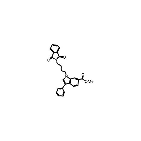 COC(=O)c1ccc2c(-c3ccccc3)cn(CCCCN3C(=O)c4ccccc4C3=O)c2c1